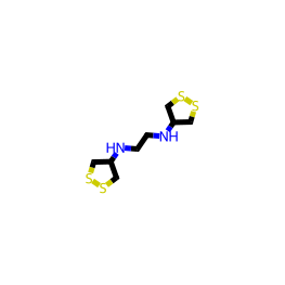 C(CNC1CSSC1)NC1CSSC1